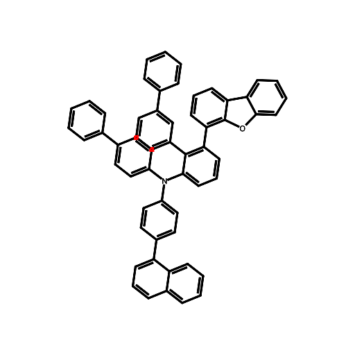 c1ccc(-c2ccc(N(c3ccc(-c4cccc5ccccc45)cc3)c3cccc(-c4cccc5c4oc4ccccc45)c3-c3cccc(-c4ccccc4)c3)cc2)cc1